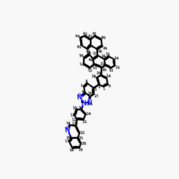 c1cc(-c2ccc3nn(-c4ccc(-c5cnc6ccccc6c5)cc4)nc3c2)cc(-c2c3ccccc3c(-c3cccc4ccccc34)c3ccccc23)c1